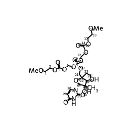 COCCOC(=O)OCOP(=O)(OCOC(=O)OCCOC)OCC1(CF)O[C@@H](n2ccc(=O)[nH]c2=O)[C@](C)(O)[C@@H]1O